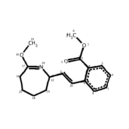 COC(=O)c1ccccc1C=CC1CCCCC(OC)=N1